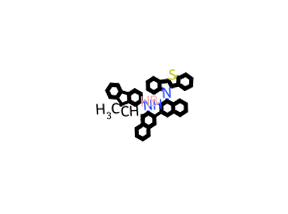 CC1(C)c2ccccc2-c2ccc(Nc3cc4ccccc4cc3-c3cc4ccccc4c4c3Bc3cccc5c6sc7ccccc7c6n-4c35)cc21